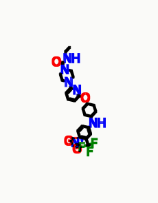 CCNC(=O)N1CCN(c2cccc(O[C@H]3CC[C@H](Nc4ccc([N+](=O)[O-])c(C(F)(F)F)c4)CC3)n2)CC1